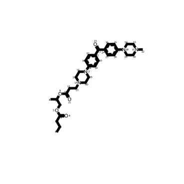 CCCC(=O)OCC(C)OC(=O)CCN1CCN(c2ccc(C(=O)c3ccc(N4CCN(C)CC4)cc3)cc2)CC1